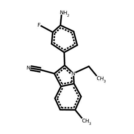 CCn1c(-c2ccc(N)c(F)c2)c(C#N)c2ccc(C)cc21